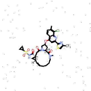 Cc1ccc2c(OC3C[C@H]4C(=O)N(C)CCCC/C=C\[C@@H]5C[C@@]5(C(=O)NS(=O)(=O)C5CC5)CC(=O)N4C3)cc(-c3nc(C(F)(F)F)cs3)nc2c1Cl